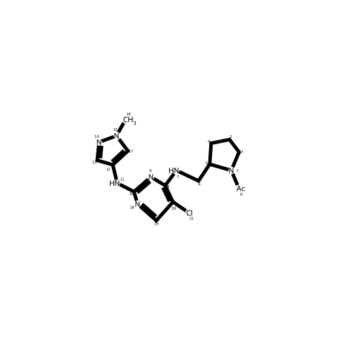 CC(=O)N1CCCC1CNc1nc(Nc2cnn(C)c2)ncc1Cl